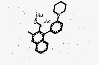 CC(=O)[C@@H](OC(C)(C)C)c1c(C)cc2ccccc2c1-c1cccc(N2CCCCC2)c1